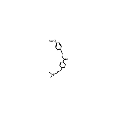 COc1ccc(CCC(=O)c2ccc(CCCN(C)C)cc2)cc1